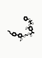 C=C(C(=O)OCCOc1ccc(-c2ccc(CCC)cc2)cc1OC)c1ccc(OC(=O)C(C)(C)Oc2ccccc2)c(OC)c1